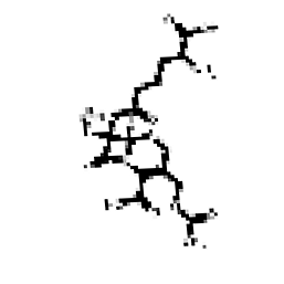 COC1(NC(=O)CCCC(N)C(=O)O)C(=O)N2C(C(=O)O)=C(COC(C)=O)CS[C@H]21